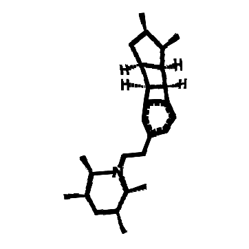 C[C@H]1[C@@H]2[C@H](C[C@H]1C)[C@@H]1c3cc(CCN4[C@H](C)[C@H](C)C[C@H](C)[C@@H]4C)ccc3[C@@H]12